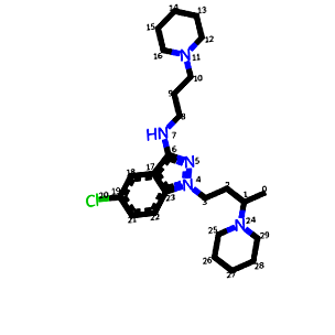 CC(CCn1nc(NCCCN2CCCCC2)c2cc(Cl)ccc21)N1CCCCC1